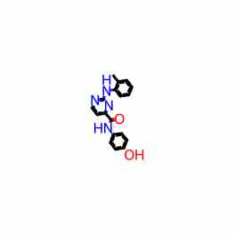 Cc1ccccc1Nc1nccc(C(=O)Nc2ccc(O)cc2)n1